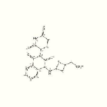 O=C(O)CC1CC(NC2C(=O)N(C3CCC(=O)NC3=O)C(=O)c3ccccc32)C1